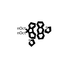 CCCCCCCCC1(CCCCCCCC)c2ccccc2-c2ccccc21.c1ccc2cc3ccccc3cc2c1.c1ccsc1.c1ccsc1